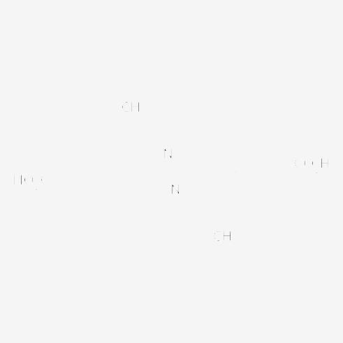 CC(CCC(=O)O)/N=N/C(C)CCC(=O)O